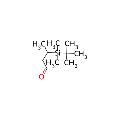 CC(CC=O)[Si](C)(C)C(C)(C)C